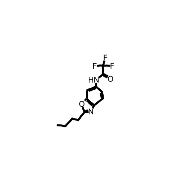 CCCCc1nc2ccc(NC(=O)C(F)(F)F)cc2o1